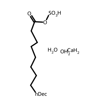 CCCCCCCCCCCCCCCCCC(=O)OS(=O)(=O)O.O.O.[CaH2]